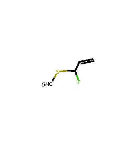 C=CC(F)SC=O